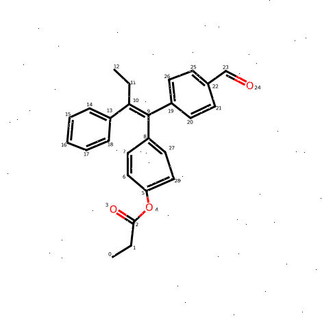 CCC(=O)Oc1ccc(C(=C(CC)c2ccccc2)c2ccc(C=O)cc2)cc1